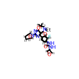 CCN1CC(C)(C)Oc2nc(N3CC4CCC(C3)O4)nc(-c3ccc(NC(=O)NC4COC4)c(F)c3)c2C1=O